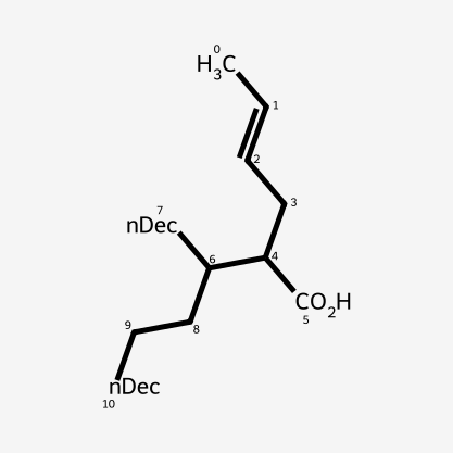 CC=CCC(C(=O)O)C(CCCCCCCCCC)CCCCCCCCCCCC